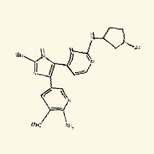 COc1cc(-c2nc(C(C)(C)C)[nH]c2-c2ccnc(NC3CCN(C(C)=O)C3)n2)cnc1N